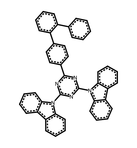 c1ccc(-c2ccccc2-c2ccc(-c3nc(-n4c5ccccc5c5ccccc54)nc(-n4c5ccccc5c5ccccc54)n3)cc2)cc1